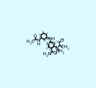 CC(=O)Nc1cccc(Nc2ncc(C(N)=O)c(N(N)C(C)C=O)n2)c1